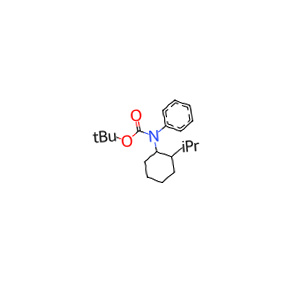 [CH2]C(C)C1CCCCC1N(C(=O)OC(C)(C)C)c1ccccc1